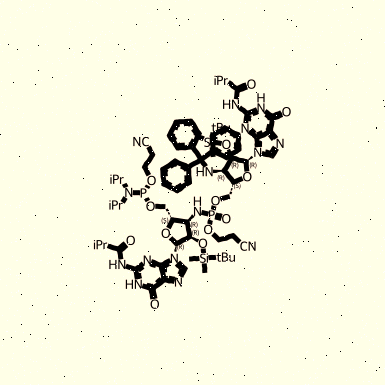 CC(C)C(=O)Nc1nc2c(ncn2[C@@H]2O[C@H](COP(=O)(N[C@H]3[C@@H](O[Si](C)(C)C(C)(C)C)[C@H](n4cnc5c(=O)[nH]c(NC(=O)C(C)C)nc54)O[C@@H]3COP(OCCC#N)N(C(C)C)C(C)C)OCCC#N)[C@@H](NC(c3ccccc3)(c3ccccc3)c3ccccc3)[C@H]2O[Si](C)(C)C(C)(C)C)c(=O)[nH]1